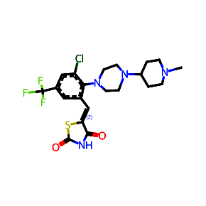 CN1CCC(N2CCN(c3c(Cl)cc(C(F)(F)F)cc3/C=C3\SC(=O)NC3=O)CC2)CC1